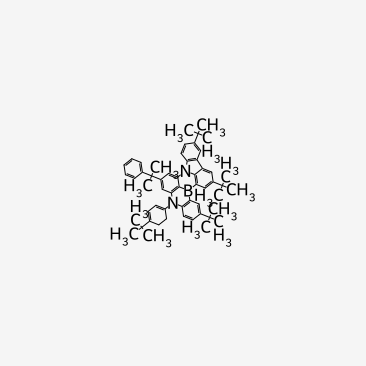 CC(C)(C)C1=CC=C(N2c3ccc(C(C)(C)C)cc3B3c4c2cc(C(C)(C)c2ccccc2)cc4-n2c4ccc(C(C)(C)C)cc4c4cc(C(C)(C)C)cc3c42)CC1